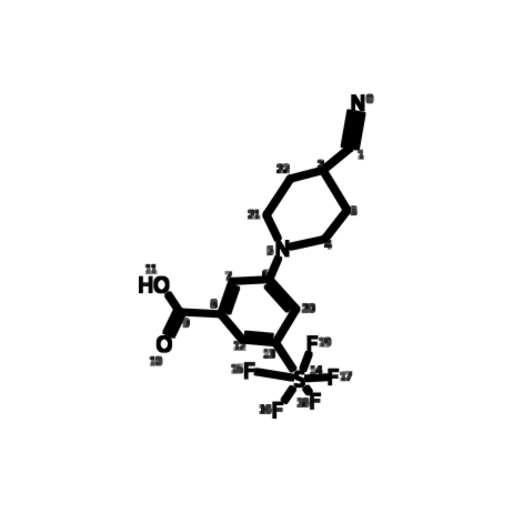 N#CC1CCN(c2cc(C(=O)O)cc(S(F)(F)(F)(F)F)c2)CC1